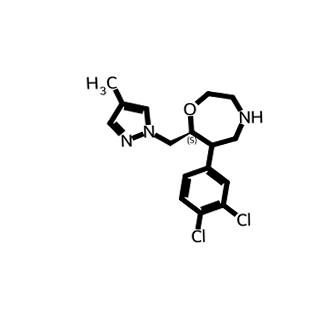 Cc1cnn(C[C@H]2OCCNCC2c2ccc(Cl)c(Cl)c2)c1